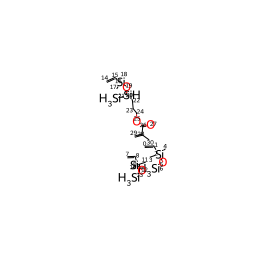 C=C[Si](C)(C)O[SiH3].C=C[Si](C)(C)O[SiH3].C=C[Si](C)(C)O[SiH]([SiH3])CCCOC(=O)C(=C)C